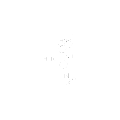 Cl.Cl.O=c1ccc2c(Nc3cccc(CN[SH](=O)=O)c3)ccnc2[nH]1